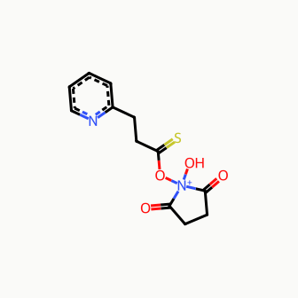 O=C1CCC(=O)[N+]1(O)OC(=S)CCc1ccccn1